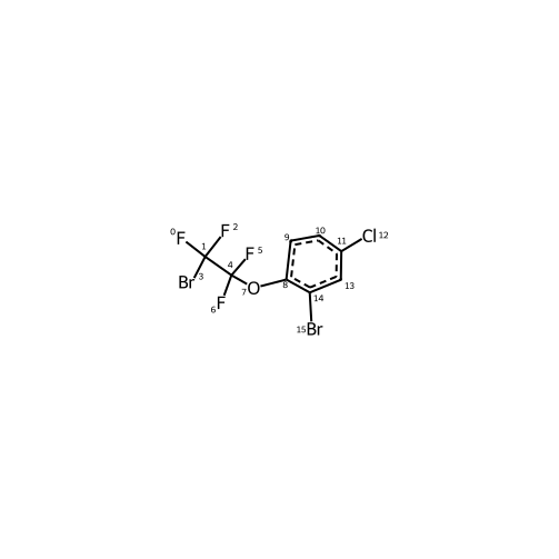 FC(F)(Br)C(F)(F)Oc1ccc(Cl)cc1Br